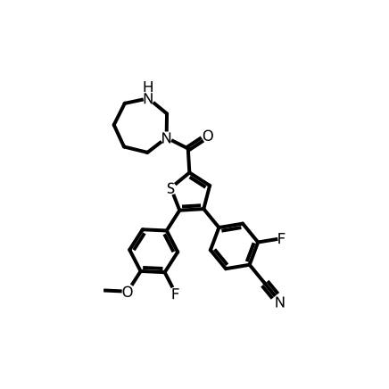 COc1ccc(-c2sc(C(=O)N3CCCCNC3)cc2-c2ccc(C#N)c(F)c2)cc1F